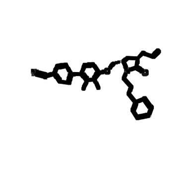 C=CC[C@@H]1C[C@@H](COc2ccc(-c3ccc(C#N)cc3)c(C)c2C)N(CCCc2ccccc2)C1=O